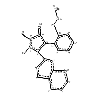 Cn1c(-c2ccc3nccnc3c2)c(-c2ccccc2COC(C)(C)C)c(=O)n1C